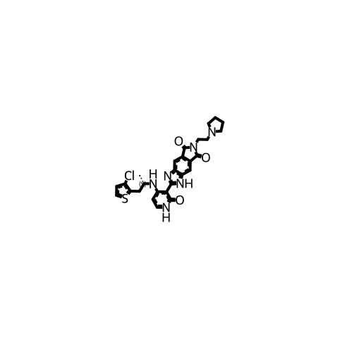 C[C@@H](Cc1sccc1Cl)Nc1cc[nH]c(=O)c1-c1nc2cc3c(cc2[nH]1)C(=O)N(CCN1CCCC1)C3=O